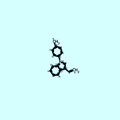 C=Cc1cn(-c2ccc(C)cc2)c2ccccc12